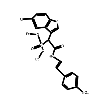 CCOP(=O)(OCC)C(C(=O)N/C=C/c1ccc([N+](=O)[O-])cc1)c1csc2ccc(Cl)cc12